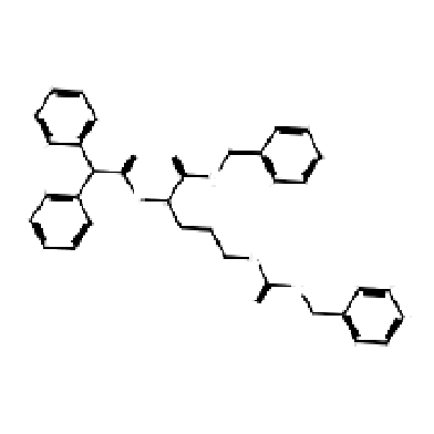 O=C(NCCCC(NC(=O)C(c1ccccc1)c1ccccc1)C(=O)NCc1ccccc1)OCc1ccccc1